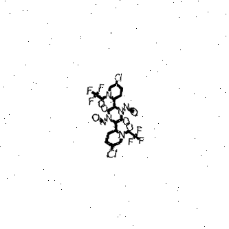 O=NN1C(=O)C(C2CCC(Cl)CN2C(=O)C(F)(F)F)N(N=O)C(=O)C1C1CCC(Cl)CN1C(=O)C(F)(F)F